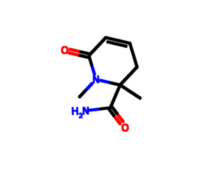 CN1C(=O)C=CCC1(C)C(N)=O